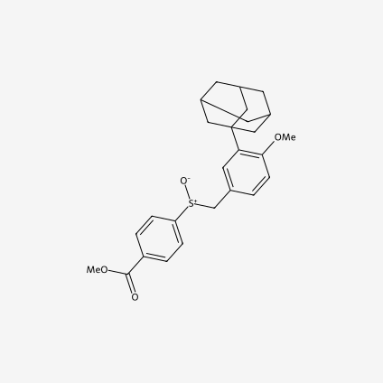 COC(=O)c1ccc([S+]([O-])Cc2ccc(OC)c(C34CC5CC(CC(C5)C3)C4)c2)cc1